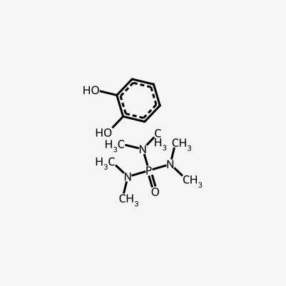 CN(C)P(=O)(N(C)C)N(C)C.Oc1ccccc1O